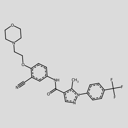 Cc1c(C(=O)Nc2ccc(OCCN3CCOCC3)c(C#N)c2)cnn1-c1ccc(C(F)(F)F)cc1